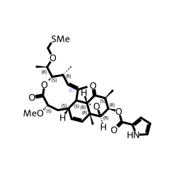 CO[C@H]1C[C@H]2C=C[C@]3(C)[C@H]4C(=O)[C@@H](C)[C@@H](OC(=O)c5ccc[nH]5)[C@@H]3O[C@@]24/C(C)=C/[C@@H](C)[C@@H]([C@@H](C)OCSC)OC1=O